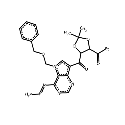 CCC(=O)C1OC(C)(C)OC1C(=O)c1cn(COCc2ccccc2)c2c(/N=P/P)ncnc12